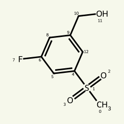 CS(=O)(=O)c1cc(F)cc(CO)c1